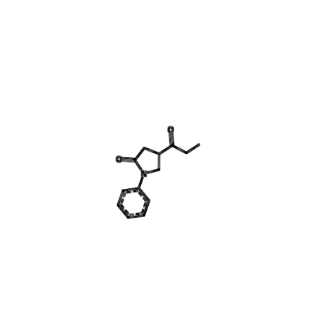 CCC(=O)C1CC(=O)N(c2ccccc2)C1